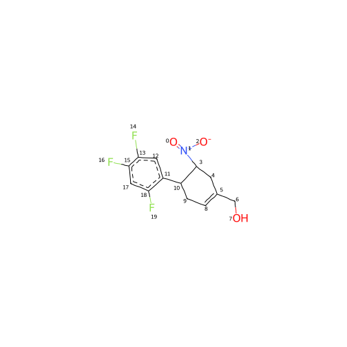 O=[N+]([O-])C1CC(CO)=CCC1c1cc(F)c(F)cc1F